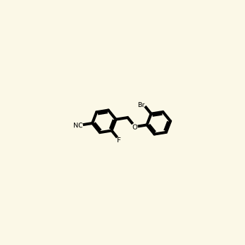 N#Cc1ccc(COc2ccccc2Br)c(F)c1